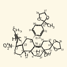 CC#C[C@]1([N+](=O)[O-])CC[C@H]2[C@@H]3CC[C@@]4(O)CC5(CCC4=C3[C@@H](c3ccc(C4(C)OCCO4)cc3)C[C@@]21C)OCCO5